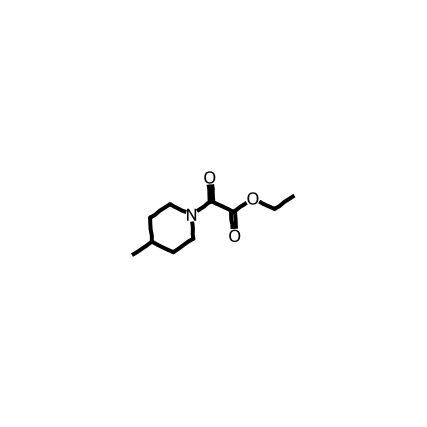 CCOC(=O)C(=O)N1CCC(C)CC1